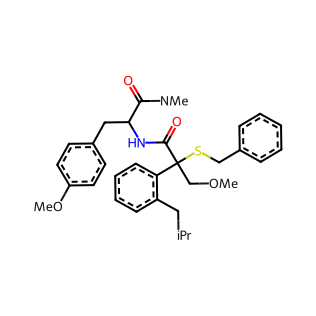 CNC(=O)C(Cc1ccc(OC)cc1)NC(=O)C(COC)(SCc1ccccc1)c1ccccc1CC(C)C